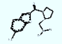 CCN(CC)C[C@@H]1CCCN1C(=O)c1cc2ccc(C(F)(F)F)cc2o1